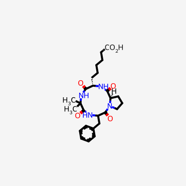 CC1(C)NC(=O)[C@H](CCCCCC(=O)O)NC(=O)[C@H]2CCCN2C(=O)C(Cc2ccccc2)NC1=O